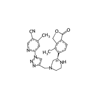 Cc1cc(-n2cc(CN3CCN[C@H](c4ccc5c(c4C)COC5=O)C3)nn2)ncc1C#N